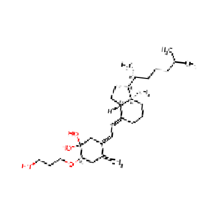 C=C1C[C@H](OCCCO)C(O)(O)CC1=CC=C1CCC[C@]2(C)[C@@H]([C@H](C)CCCC(C)C)CC[C@@H]12